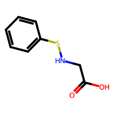 O=C(O)CNSc1ccccc1